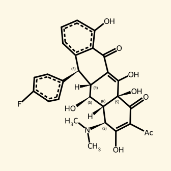 CC(=O)C1=C(O)[C@@H](N(C)C)[C@@H]2[C@@H](O)[C@H]3C(=C(O)[C@]2(O)C1=O)C(=O)c1c(O)cccc1[C@@H]3c1ccc(F)cc1